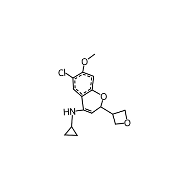 COc1cc2c(cc1Cl)C(NC1CC1)=CC(C1COC1)O2